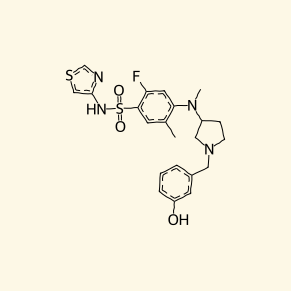 Cc1cc(S(=O)(=O)Nc2cscn2)c(F)cc1N(C)C1CCN(Cc2cccc(O)c2)C1